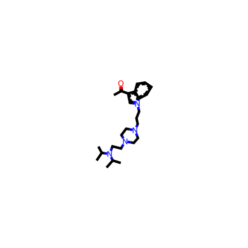 CC(=O)c1cn(CCCN2CCN(CCN(C(C)C)C(C)C)CC2)c2ccccc12